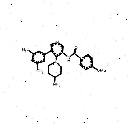 COc1ccc(C(=O)Nc2cncc(-c3cc(C)cc(C)c3)c2N2CCC(N)CC2)cc1